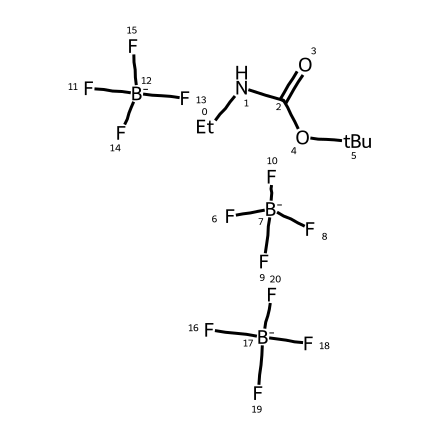 CCNC(=O)OC(C)(C)C.F[B-](F)(F)F.F[B-](F)(F)F.F[B-](F)(F)F